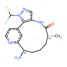 C[C@@H]1CCC[C@@H](N)c2cc(ccn2)-c2c(cnn2C(F)F)NC1=O